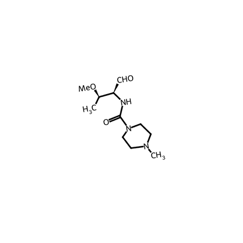 CO[C@H](C)[C@@H](C=O)NC(=O)N1CCN(C)CC1